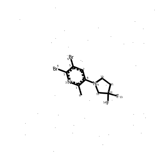 Cc1nc(Br)c(Br)cc1N1CCC(F)(F)C1